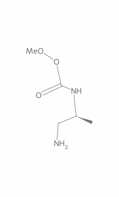 COOC(=O)N[C@@H](C)CN